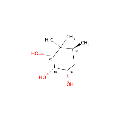 C[C@H]1C[C@H](O)[C@H](O)[C@H](O)C1(C)C